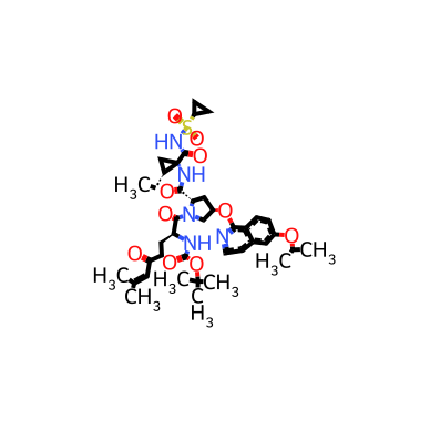 CC[C@@H]1C[C@]1(NC(=O)[C@@H]1C[C@@H](Oc2nccc3cc(OC(C)C)ccc23)CN1C(=O)[C@H](CCC(=O)C=C(C)C)NC(=O)OC(C)(C)C)C(=O)NS(=O)(=O)C1CC1